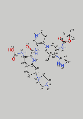 C[C@H]1CN(c2ccncc2NC(=O)c2nc3cc(N4CCN(C)CC4)ccc3cc2NC(=O)O)C[C@@H](NC(=O)OC(C)(C)C)[C@H]1n1ccnn1